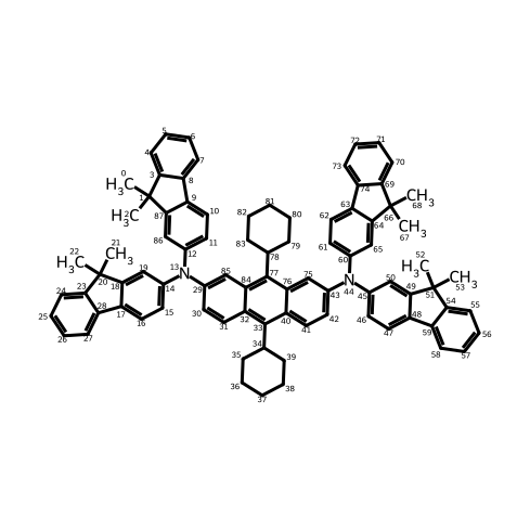 CC1(C)c2ccccc2-c2ccc(N(c3ccc4c(c3)C(C)(C)c3ccccc3-4)c3ccc4c(C5CCCCC5)c5ccc(N(c6ccc7c(c6)C(C)(C)c6ccccc6-7)c6ccc7c(c6)C(C)(C)c6ccccc6-7)cc5c(C5CCCCC5)c4c3)cc21